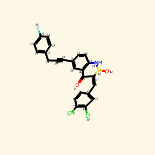 O=C1/C(=C\c2ccc(Cl)c(Cl)c2)[S+]([O-])Nc2ccc(C#CCc3ccc(F)cc3)cc21